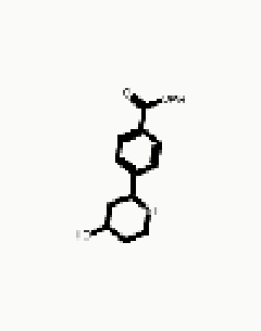 COC(=O)c1ccc(C2CC(O)CCN2)cc1